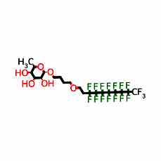 C[C@H]1O[C@H](OCCCCOCCC(F)(F)C(F)(F)C(F)(F)C(F)(F)C(F)(F)C(F)(F)C(F)(F)C(F)(F)F)[C@H](O)[C@@H](O)[C@H]1O